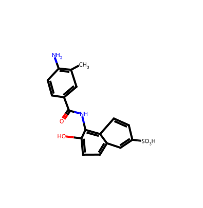 Cc1cc(C(=O)Nc2c(O)ccc3cc(S(=O)(=O)O)ccc23)ccc1N